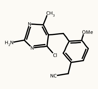 COc1ccc(CC#N)cc1Cc1c(C)nc(N)nc1Cl